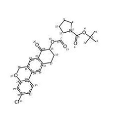 CC(C)(C)OC(=O)N1CCC[C@H]1C(=O)OC1CCc2cc3c(cc2C1=O)COc1cc(Cl)ccc1-3